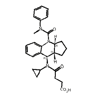 CN(C(=O)N1c2ccccc2[C@H](N(C(=O)CCC(=O)O)C2CC2)[C@H]2CCC[C@H]21)c1ccccc1